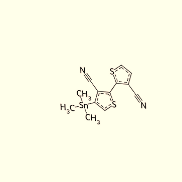 [CH3][Sn]([CH3])([CH3])[c]1csc(-c2sccc2C#N)c1C#N